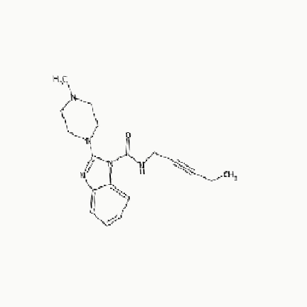 CCC#CCNC(=O)n1c(N2CCN(C)CC2)nc2ccccc21